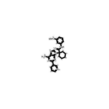 COc1cccc(NC(=O)C2(n3cnc4c(N)nc(-c5cccnc5)nc43)CCCCC2)c1